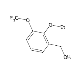 CCOc1c([CH]O)cccc1OC(F)(F)F